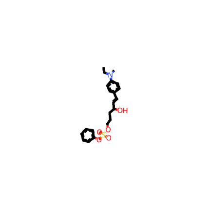 CCN(C)c1ccc(/C=C/C(O)CCCOS(=O)(=O)Oc2ccccc2)cc1